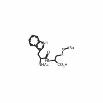 CC(=O)NC(Cc1c[nH]c2ccccc12)C(=O)NC(CSSC(C)(C)C)C(=O)O